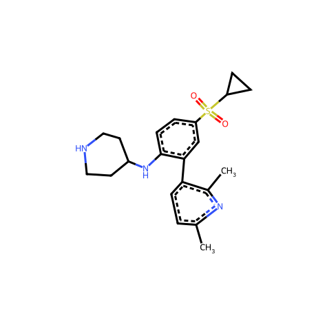 Cc1ccc(-c2cc(S(=O)(=O)C3CC3)ccc2NC2CCNCC2)c(C)n1